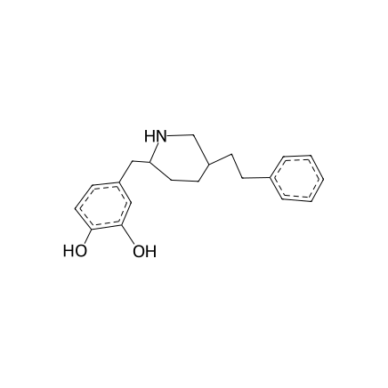 Oc1ccc(CC2CCC(CCc3ccccc3)CN2)cc1O